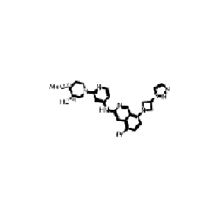 CO[C@H]1CCN(c2cc(Nc3cc4c(C(C)C)ccc(N5CC(n6ccnn6)C5)c4cn3)ccn2)C[C@H]1O